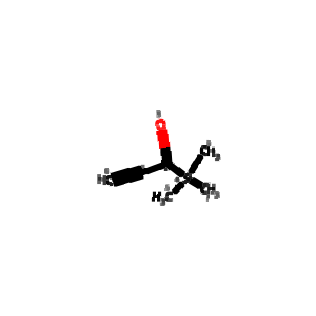 C#CC(=O)[Si](C)(C)C